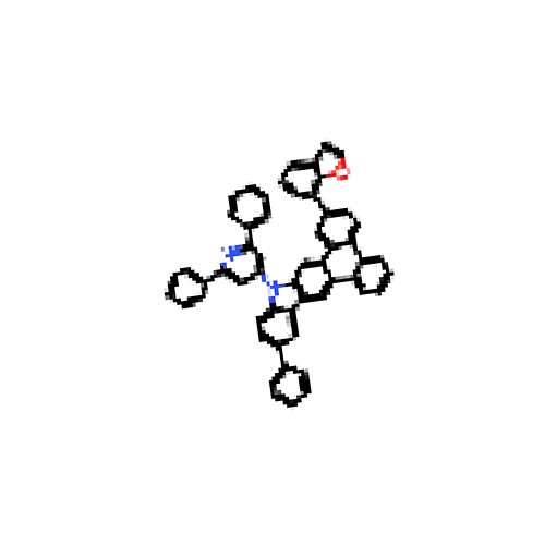 c1ccc(-c2ccc3c(c2)c2cc4c5ccccc5c5ccc(-c6cccc7ccoc67)cc5c4cc2n3-c2cc(-c3ccccc3)nc(-c3ccccc3)c2)cc1